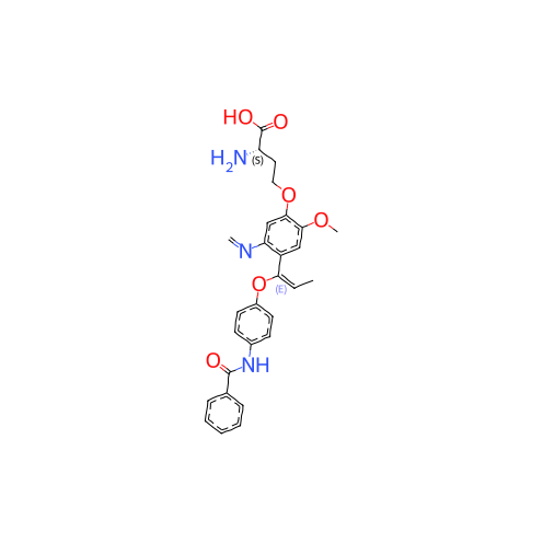 C=Nc1cc(OCC[C@H](N)C(=O)O)c(OC)cc1/C(=C\C)Oc1ccc(NC(=O)c2ccccc2)cc1